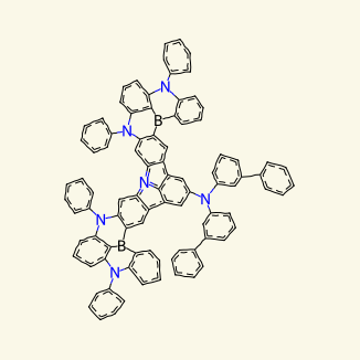 c1ccc(-c2cccc(N(c3cccc(-c4ccccc4)c3)c3cc4c5cc6c(cc5n5c7cc8c(cc7c(c3)c45)B3c4ccccc4N(c4ccccc4)c4cccc(c43)N8c3ccccc3)N(c3ccccc3)c3cccc4c3B6c3ccccc3N4c3ccccc3)c2)cc1